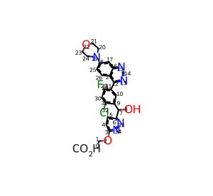 O=C(O)COc1ccc(C(O)c2cc(-c3ncnc4cc(N5CCOCC5)ccc34)c(F)cc2Cl)nn1